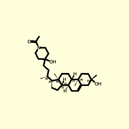 CC(=O)N1CCC(O)(CC[C@@H](C)[C@H]2CC[C@H]3[C@@H]4CC=C5C[C@@](C)(O)CC[C@]5(C)[C@H]4CC[C@]23C)CC1